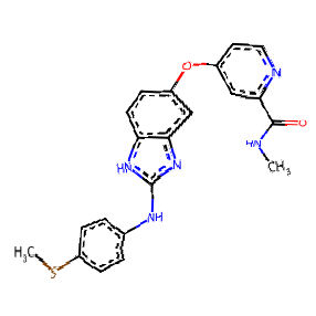 CNC(=O)c1cc(Oc2ccc3[nH]c(Nc4ccc(SC)cc4)nc3c2)ccn1